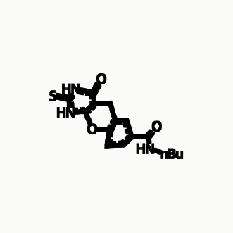 CCCCNC(=O)c1ccc2c(c1)Cc1c([nH]c(=S)[nH]c1=O)O2